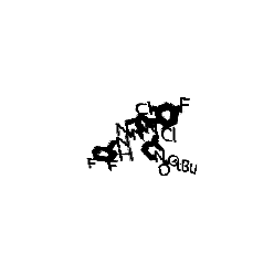 CC(C)(C)OC(=O)N1CCCC(Cn2c(-c3c(Cl)cc(F)cc3Cl)cc3cnc(NCc4ccc(F)c(F)c4)nc32)C1